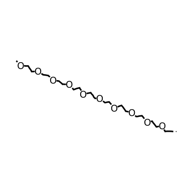 [CH2]COCCOCCOCCOCCOCCOCCOCCOCCOCCOC